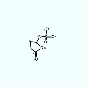 CCS(=O)(=O)OC1CCC(=O)O1